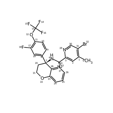 Cc1cc(C(=O)N[C@]2(c3ccc(OC(F)(F)F)c(F)c3)CCOc3cccnc32)ncc1Br